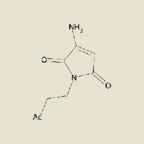 CC(=O)CCN1C(=O)C=C(N)C1=O